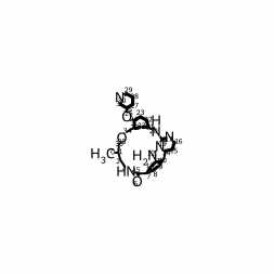 CC1CCNC(=O)c2ccc(c(N)c2)-c2ccnc(n2)Nc2ccc(Oc3cccnc3)c(c2)COC1